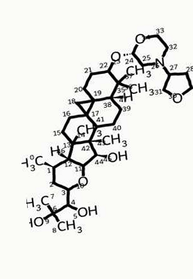 C[C@@H]1CC(C(O)C(C)(C)O)OC2[C@H]1C1(C)CCC34CC35CCC(O[C@H]3CN(C6CCOC6)CCO3)C(C)(C)[C@@H]5CCC4[C@]1(C)[C@H]2O